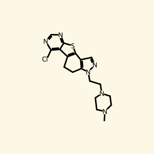 CN1CCN(CCn2ncc3c2CCc2c-3sc3ncnc(Cl)c23)CC1